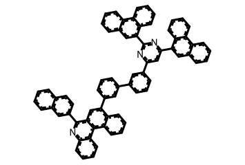 c1cc(-c2cccc(-c3cc4c(-c5ccc6ccccc6c5)nc5ccccc5c4c4ccccc34)c2)cc(-c2cc(-c3cc4ccccc4c4ccccc34)nc(-c3cc4ccccc4c4ccccc34)n2)c1